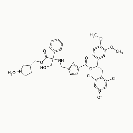 COc1ccc([C@H](Cc2c(Cl)c[n+]([O-])cc2Cl)OC(=O)c2ccc(CNC(CO)(C(=O)OC[C@@H]3CCN(C)C3)c3ccccc3)s2)cc1OC